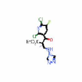 CCOC(=O)/C(=C/Nn1cnnc1)C(=O)c1cc(F)c(Cl)nc1Cl